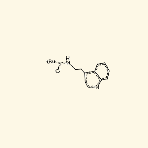 CC(C)(C)[S@@+]([O-])NCCc1ccnc2ccccc12